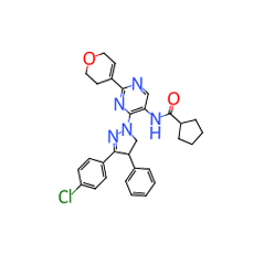 O=C(Nc1cnc(C2=CCOCC2)nc1N1CC(c2ccccc2)C(c2ccc(Cl)cc2)=N1)C1CCCC1